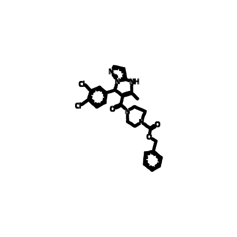 CC1=C(C(=O)N2CCN(C(=O)OCc3ccccc3)CC2)C(c2ccc(Cl)c(Cl)c2)n2nccc2N1